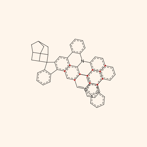 C1=c2cccc(-c3ccccc3)c2=C(c2ccccc2N(c2ccccc2-c2ccc3c(c2)C2(c4ccccc4-3)C3CC4CC5CC2C53C4)c2ccccc2-c2cccc3c2oc2ccccc23)CC1